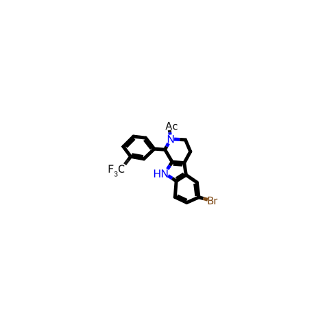 CC(=O)N1CCc2c([nH]c3ccc(Br)cc23)C1c1cccc(C(F)(F)F)c1